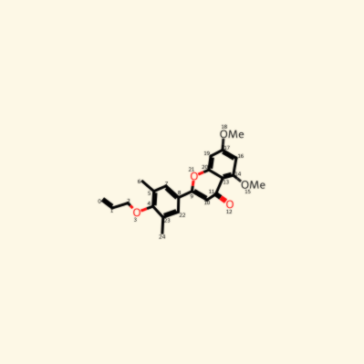 C=CCOc1c(C)cc(-c2cc(=O)c3c(OC)cc(OC)cc3o2)cc1C